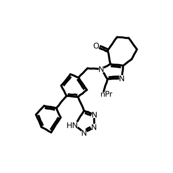 CCCc1nc2c(n1Cc1ccc(-c3ccccc3)c(-c3nnn[nH]3)c1)C(=O)CCCC2